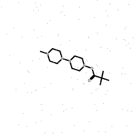 CN1CCN(N2CCN(OC(=O)C(C)(C)C)CC2)CC1